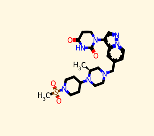 C[C@H]1CN(Cc2ccn3ncc(N4CCC(=O)NC4=O)c3c2)CCN1C1CCN(S(C)(=O)=O)CC1